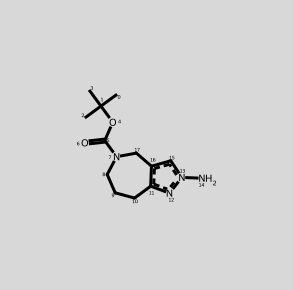 CC(C)(C)OC(=O)N1CCCc2nn(N)cc2C1